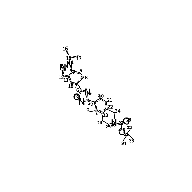 Cc1c(-c2noc(-c3ccc4c(cnn4C(C)C)c3)n2)ccc2c1CCN(C(=O)OC(C)(C)C)C2